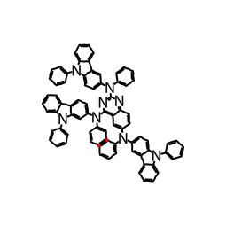 c1ccc(N(c2ccc3nc(N(c4ccccc4)c4ccc5c(c4)c4ccccc4n5-c4ccccc4)nc(N(c4ccccc4)c4ccc5c6ccccc6n(-c6ccccc6)c5c4)c3c2)c2ccc3c(c2)c2ccccc2n3-c2ccccc2)cc1